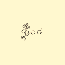 CCNC(=O)N1CCC[C@H](NS(C)(=O)=O)[C@@H]1CO[C@H]1CC[C@@H](c2cccc(F)c2)CC1